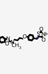 CN(CCCCOc1ccc(/C=C2\SC(=O)NC2=O)cc1)c1nc2ccccc2o1